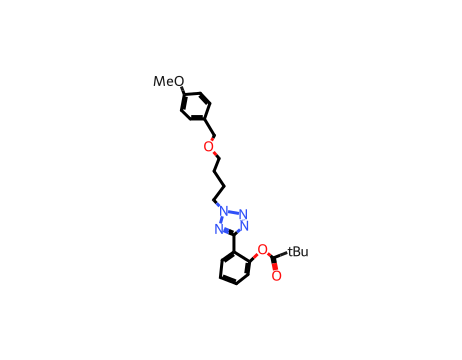 COc1ccc(COCCCCn2nnc(-c3ccccc3OC(=O)C(C)(C)C)n2)cc1